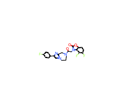 O=C(Cn1c(=O)oc2ccc(F)c(F)c21)N1CCCn2cc(-c3ccc(F)cc3)nc2C1